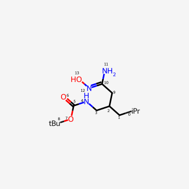 CC(C)CC(CNC(=O)OC(C)(C)C)CC(N)=NO